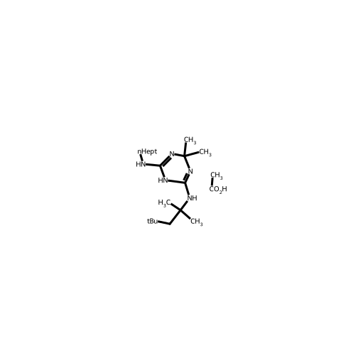 CC(=O)O.CCCCCCCNC1=NC(C)(C)N=C(NC(C)(C)CC(C)(C)C)N1